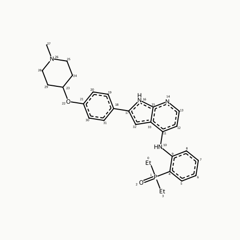 CCP(=O)(CC)c1ccccc1Nc1ccnc2[nH]c(-c3ccc(OC4CCN(C)CC4)cc3)cc12